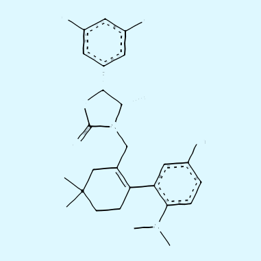 CC(C)c1ccc(N(C)C)c(C2=C(CN3C(=O)O[C@H](c4cc(C(F)(F)F)cc(C(F)(F)F)c4)[C@@H]3C)CC(C)(C)CC2)c1